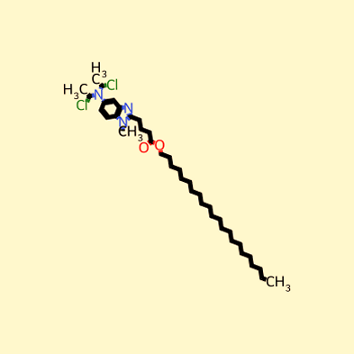 CCCCCCCCCCCCCCCCCCCCCCOC(=O)CCCc1nc2cc(N(C(C)Cl)C(C)Cl)ccc2n1C